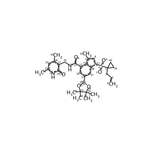 C=CCC1(S(=O)(=O)n2cc(C)c3c(C(=O)NCc4c(C)cc(C)[nH]c4=O)cc(B4OC(C)(C)C(C)(C)O4)cc32)CC1